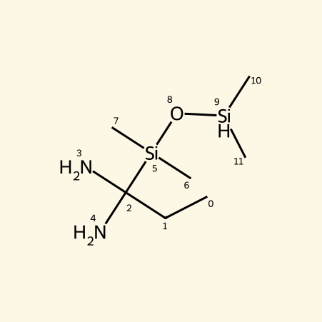 CCC(N)(N)[Si](C)(C)O[SiH](C)C